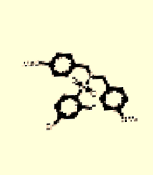 COc1ccc(CN(Cc2ccc(OC)cc2)S(=O)(=O)c2ccc(Br)cc2F)cc1